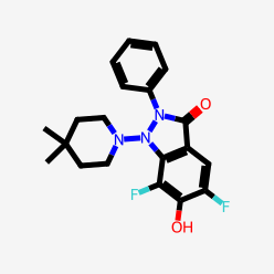 CC1(C)CCN(n2c3c(F)c(O)c(F)cc3c(=O)n2-c2ccccc2)CC1